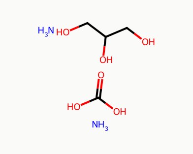 N.N.O=C(O)O.OCC(O)CO